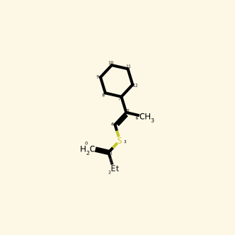 C=C(CC)S/C=C(\C)C1CCCCC1